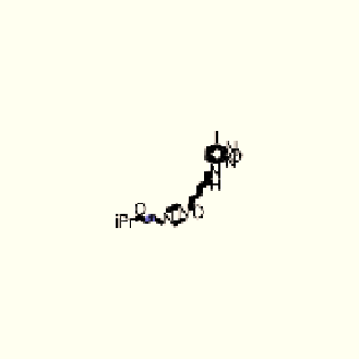 CC(C)C(=O)/C=C/CN1CCN(C(=O)CCCCCNc2ccc(I)c3nonc23)CC1